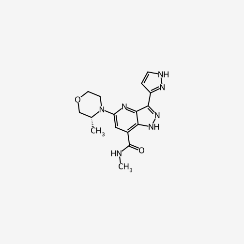 CNC(=O)c1cc(N2CCOC[C@H]2C)nc2c(-c3cc[nH]n3)n[nH]c12